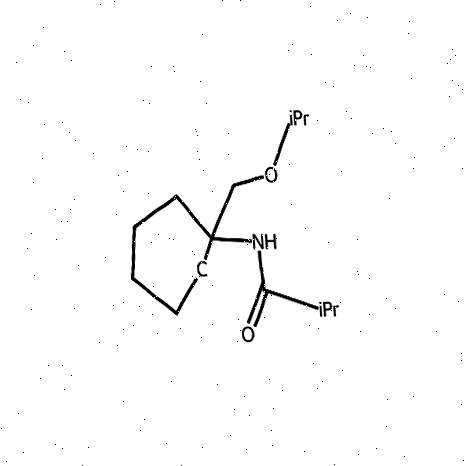 CC(C)OCC1(NC(=O)C(C)C)CCCCC1